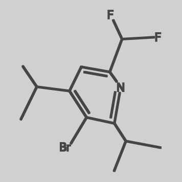 CC(C)c1cc(C(F)F)nc(C(C)C)c1Br